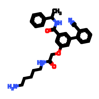 CC(NC(=O)c1cc(OCC(=O)NCCCCCN)cc(-c2ccccc2C#N)c1)c1ccccc1